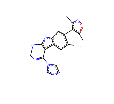 COc1cc2c3c([nH]c2cc1-c1c(C)noc1C)NCN=C3n1ccnc1